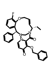 CC[C@H]1/C=C/COc2c(F)cccc2[C@H](c2ccccc2)N2CN1C(=O)c1c(OCc3ccccc3)c(=O)ccn12